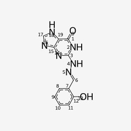 O=c1[nH]c(NN=Cc2ccccc2O)nc2nc[nH]c12